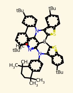 Cc1cc2c3c(n1)N(c1ccc4c(c1)C(C)(C)CCC4(C)C)c1c(sc4ccc(C(C)(C)C)cc14)B3c1sc3ccc(C(C)(C)C)cc3c1N2c1ccc(C(C)(C)C)cc1-c1ccc(C(C)(C)C)cc1